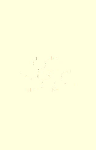 BCc1c(CB)c(CB)c(OC(CS(=O)(=O)O)C(F)(F)F)c(CB)c1CB